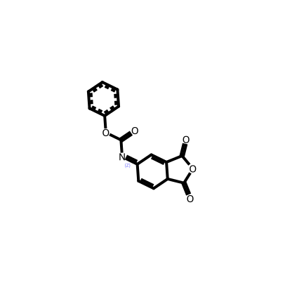 O=C(/N=C1/C=CC2C(=O)OC(=O)C2=C1)Oc1ccccc1